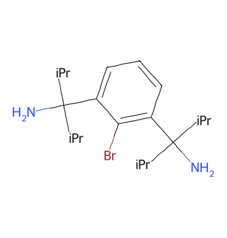 CC(C)C(N)(c1cccc(C(N)(C(C)C)C(C)C)c1Br)C(C)C